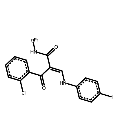 CCCNC(=O)C(=CNc1ccc(I)cc1)C(=O)c1ccccc1Cl